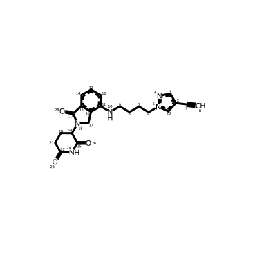 C#Cc1cnn(CCCCNc2cccc3c2CN(C2CCC(=O)NC2=O)C3=O)c1